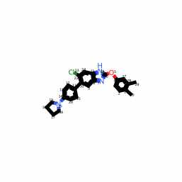 Cc1ccc(Oc2nc3cc(-c4ccc(N5CCCC5)cc4)c(Cl)cc3[nH]2)cc1C